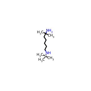 CC(C)(N)CCCCCN[Si](C)(C)C